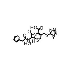 Cn1nnnc1SCC1=C(C(=O)O)N2C(=O)C(N(O)C(=O)Cc3cccs3)[C@@H]2SC1